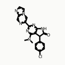 CN(C)c1nc(-c2cn3ccnc3cn2)nc2c1C(c1ccc(Cl)cc1)C(=O)N2